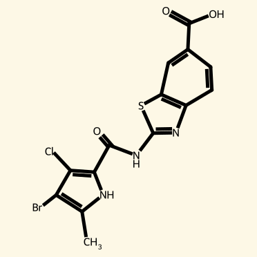 Cc1[nH]c(C(=O)Nc2nc3ccc(C(=O)O)cc3s2)c(Cl)c1Br